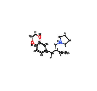 CC(=O)NC(CN1CCCC1)C(C)c1ccc2c(c1)OCCO2